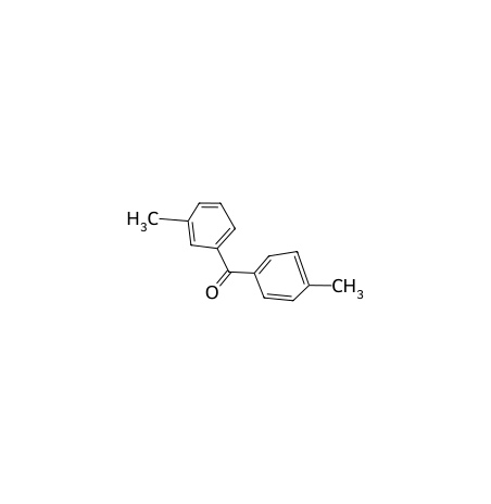 Cc1ccc(C(=O)c2cccc(C)c2)cc1